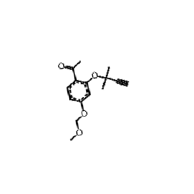 C#CC(C)(C)Oc1cc(OCOC)ccc1C(C)=O